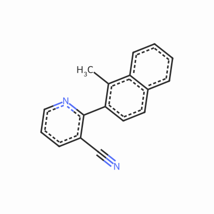 Cc1c(-c2ncccc2C#N)ccc2ccccc12